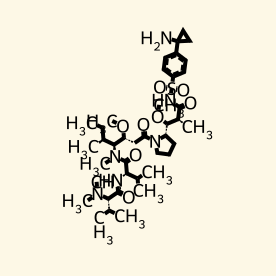 CC[C@H](C)[C@@H]([C@@H](CC(=O)N1CCC[C@H]1C(OC)[C@@H](C)C(=O)NS(=O)(=O)c1ccc(C2(N)CC2)cc1)OC)N(C)C(=O)[C@@H](NC(=O)[C@H](C(C)C)N(C)C)C(C)C